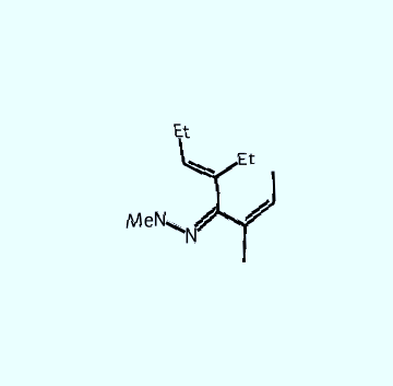 C\C=C(C)/C(=N/NC)C(=C/CC)/CC